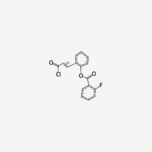 O=C(Cl)/C=C/c1ccccc1OC(=O)c1ccccc1F